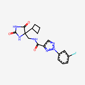 O=C1NC(=O)C(CNC(=O)c2cnn(-c3cccc(F)c3)n2)(C2CCC2)N1